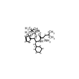 CC(C)C[C@H](N)C(=O)N[C@@H](CC1CCCCC1)[C@@H](O[Si](C)(C)C(C)(C)C)c1nccs1